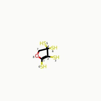 SC1=C(S)C(S)(S)CO1